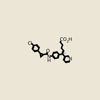 O=C(O)CCC/C=C(\c1ccc(NC(=O)C2CC2c2ccc(Cl)cc2)cc1)c1cccnc1